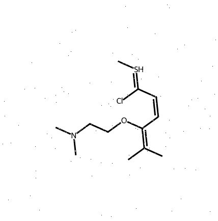 C[SH]=C(Cl)/C=C\C(OCCN(C)C)=C(C)C